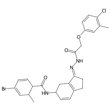 Cc1cc(OCC(=O)N/N=C2\CCC3=C2CC(NC(=O)C2C=CC(Br)=CC2C)C=C3)ccc1Cl